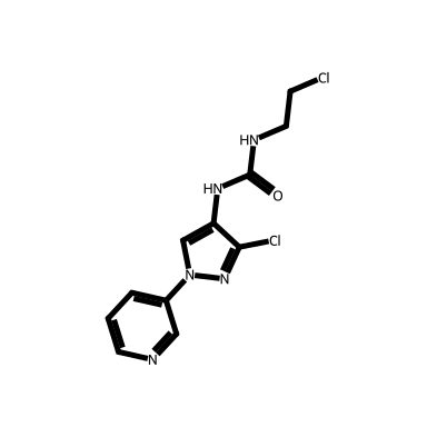 O=C(NCCCl)Nc1cn(-c2cccnc2)nc1Cl